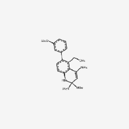 CNC1=CC(NC)(NC)Nc2ccc(-c3cccc(OC)c3)c(COC(C)=O)c21